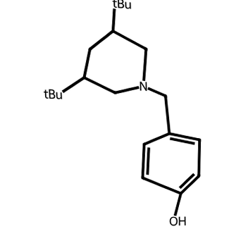 CC(C)(C)C1CC(C(C)(C)C)CN(Cc2ccc(O)cc2)C1